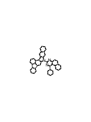 c1ccc(-c2nc(-n3c4cc5ccccc5cc4c4c5cccc6c5c(cc43)-c3ccccc3-6)nc3ccc4ccccc4c23)cc1